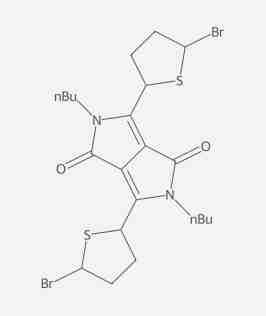 CCCCN1C(=O)C2=C(C3CCC(Br)S3)N(CCCC)C(=O)C2=C1C1CCC(Br)S1